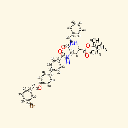 CC(C)(C)OC(=O)CC[C@H](NC(=O)c1ccc(-c2ccc(OCc3cccc(Br)c3)cc2)cc1)C(=O)NCc1ccccc1